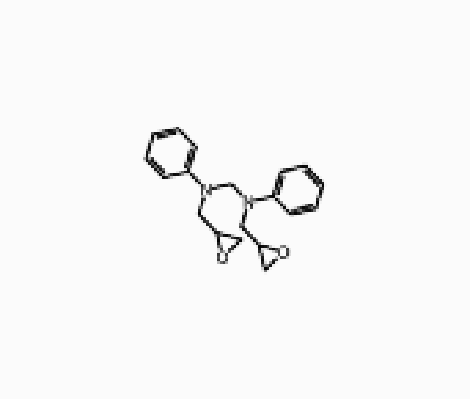 c1ccc(N(CC2CO2)CN(CC2CO2)c2ccccc2)cc1